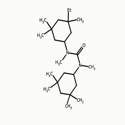 CCC1(C)CC(N(C)C(=O)N(C)C2CC(C)(C)CC(C)(C)C2)CC(C)(C)C1